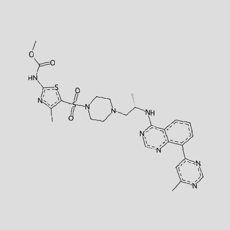 COC(=O)Nc1nc(C)c(S(=O)(=O)N2CCN(C[C@H](C)Nc3ncnc4c(-c5cc(C)ncn5)cccc34)CC2)s1